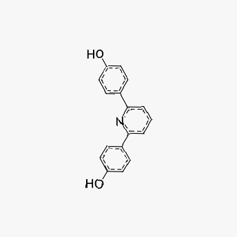 Oc1ccc(-c2cccc(-c3ccc(O)cc3)n2)cc1